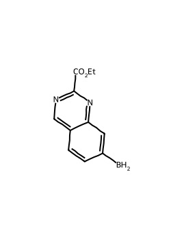 Bc1ccc2cnc(C(=O)OCC)nc2c1